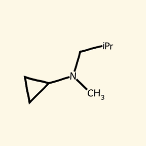 CC(C)CN(C)C1CC1